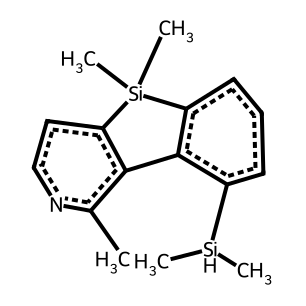 Cc1nccc2c1-c1c([SiH](C)C)cccc1[Si]2(C)C